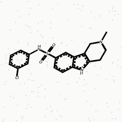 CN1CCc2[nH]c3ccc(S(=O)(=O)Nc4cccc(Cl)c4)cc3c2C1